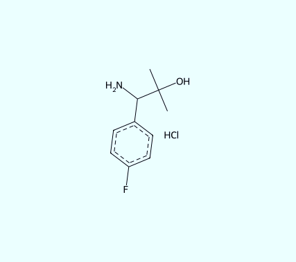 CC(C)(O)C(N)c1ccc(F)cc1.Cl